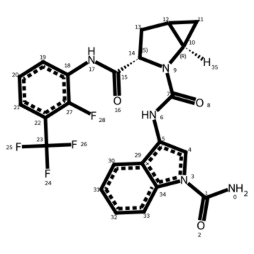 NC(=O)n1cc(NC(=O)N2[C@@H]3CC3C[C@H]2C(=O)Nc2cccc(C(F)(F)F)c2F)c2ccccc21